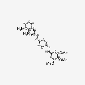 COc1cc(NCc2ccc(C=CC(=O)[N]c3cccc(N)c3N)cc2)cc(OC)c1OC